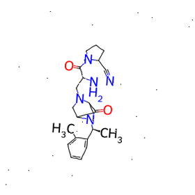 Cc1ccccc1[C@H](C)N1C(=O)C2CC1CN2CC(N)C(=O)N1CCCC1C#N